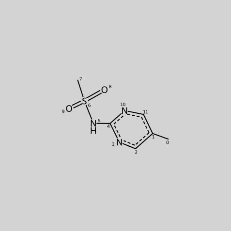 Cc1cnc(NS(C)(=O)=O)nc1